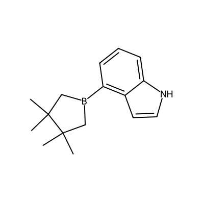 CC1(C)CB(c2cccc3[nH]ccc23)CC1(C)C